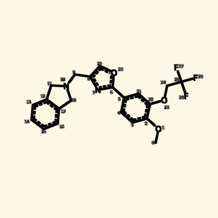 COc1ccc(-c2nc(CN3Cc4ccccc4C3)co2)cc1OCC(F)(F)F